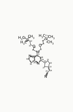 C[Si](C)(C)CCOCN(COCC[Si](C)(C)C)c1cc(C2CCC(=CC#N)C2)nc2ccnn12